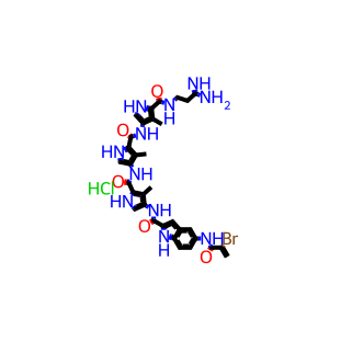 C=C(Br)C(=O)Nc1ccc2[nH]c(C(=O)Nc3c[nH]c(C(=O)Nc4c[nH]c(C(=O)Nc5c[nH]c(C(=O)NCCC(=N)N)c5C)c4C)c3C)cc2c1.Cl